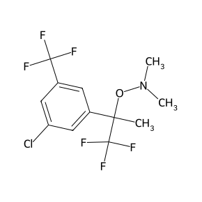 CN(C)OC(C)(c1cc(Cl)cc(C(F)(F)F)c1)C(F)(F)F